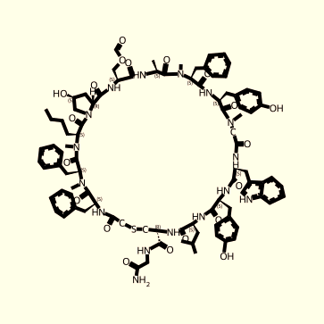 CCCC[C@H]1C(=O)N2C[C@@H](O)C[C@@H]2C(=O)N[C@@H](COC=O)C(=O)N[C@@H](C)C(=O)N(C)[C@@H](Cc2ccccc2)C(=O)N[C@@H](Cc2ccc(O)cc2)C(=O)N(C)CC(=O)N[C@@H](Cc2c[nH]c3ccccc23)C(=O)N[C@@H](Cc2ccc(O)cc2)C(=O)N[C@@H](CC(C)C)C(=O)N[C@H](C(=O)NCC(N)=O)CSCC(=O)N[C@@H](Cc2ccccc2)C(=O)N(C)[C@@H](Cc2ccccc2)C(=O)N1C